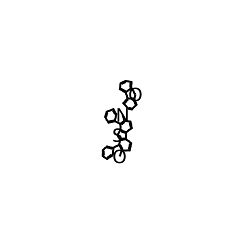 c1ccc2c(c1)oc1ccc(-n3c4ccccc4c4c5sc6c(ccc7oc8ccccc8c76)c5ccc43)cc12